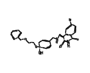 O=C1NC(=O)c2ccc(Br)cc2C1=CNCC1=CCC(O)(OCCOCc2ccccc2)C=C1